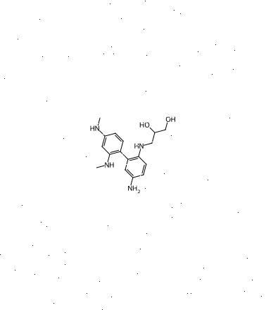 CNc1ccc(-c2cc(N)ccc2NCC(O)CO)c(NC)c1